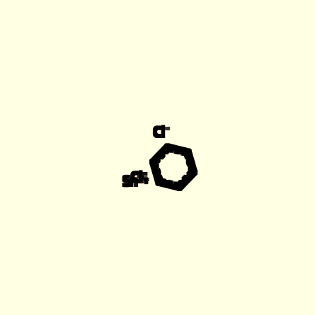 [Cl-].[Cl-].[Sn+2].c1ccccc1